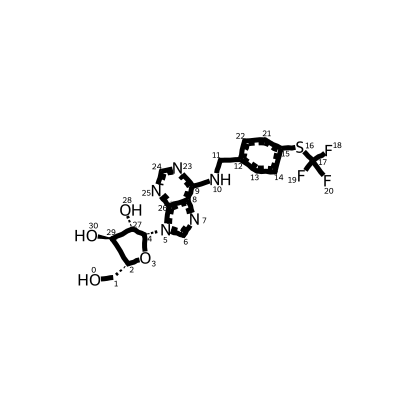 OC[C@H]1O[C@@H](n2cnc3c(NCc4ccc(SC(F)(F)F)cc4)ncnc32)[C@@H](O)[C@@H]1O